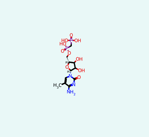 Cc1cn([C@@H]2O[C@H](COP(=O)(O)CP(=O)(O)O)C(O)C2O)c(=O)nc1N